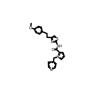 COc1ccc(CCc2csc(NC(=O)c3cccn3Cc3ccncc3)n2)cc1